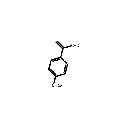 C=C(C=O)c1ccc(NC(C)=O)cc1